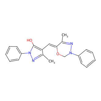 CC1=NN(c2ccccc2)CO/C1=C\c1c(C)nn(-c2ccccc2)c1O